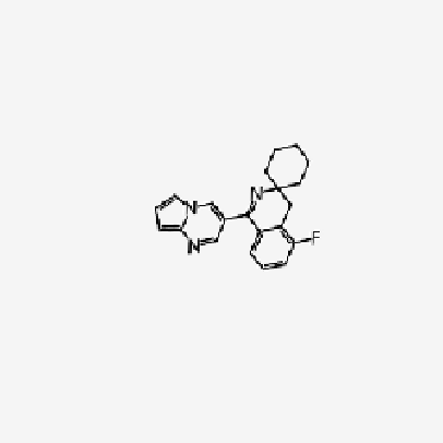 Fc1cccc2c1CC1(CCCCC1)N=C2c1cnc2cccn2c1